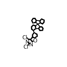 Clc1nc(Cl)c2c(n1)oc1ccc(-c3cccc4c3-c3ccccc3C43c4ccccc4-c4ccccc43)cc12